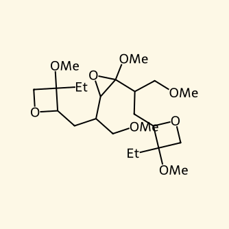 CCC1(OC)COC1CC(COC)C1OC1(OC)C(COC)CC1OCC1(CC)OC